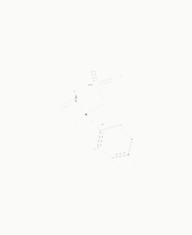 CC(C)(C)C(=O)C(O)(OS(C)(=O)=O)c1ccc(Cl)cc1